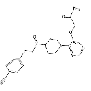 N#Cc1ccc(C[CH]C(=O)N2CCN(c3ccccc3OCC(N)=O)CC2)cc1